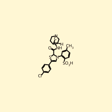 Cc1ccc(S(=O)(=O)O)c(N2C=C(c3ccc(Cl)cc3)SC2C(=O)N[C@H]2CN3CCC2CC3)c1